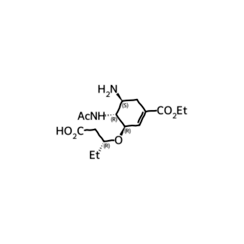 CCOC(=O)C1=C[C@@H](O[C@H](CC)CC(=O)O)[C@H](NC(C)=O)[C@@H](N)C1